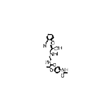 CC(=O)Nc1ccc(OC(C)C(=O)NCCNCC(O)COc2ccccc2C#N)cc1